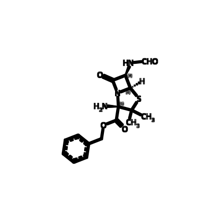 CC1(C)S[C@@H]2[C@H](NC=O)C(=O)N2[C@@]1(N)C(=O)OCc1ccccc1